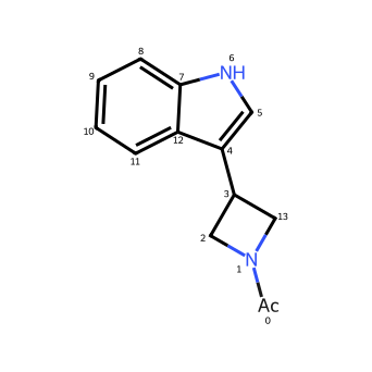 CC(=O)N1CC(c2c[nH]c3ccccc23)C1